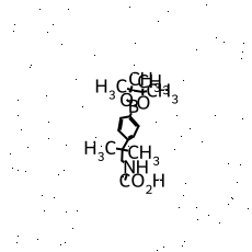 CC(C)(CNC(=O)O)c1ccc(B2OC(C)(C)C(C)(C)O2)cc1